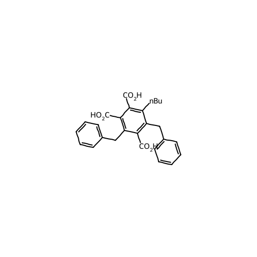 CCCCc1c(Cc2ccccc2)c(C(=O)O)c(Cc2ccccc2)c(C(=O)O)c1C(=O)O